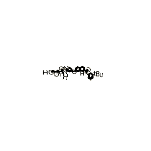 CC(C)(C)c1cccc(NC(=O)C2CCc3ccc(Oc4ccnc(NC(=O)OC[C@H](O)CO)c4)cc3C2)c1